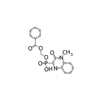 Cn1c(=O)c(P(=O)(O)OCOC(=O)c2ccccc2)nc2ccccc21